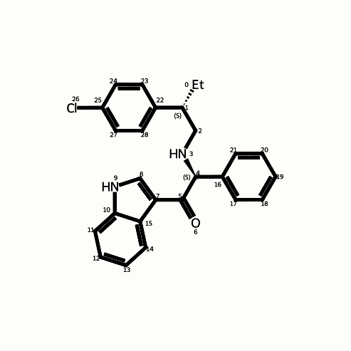 CC[C@H](CN[C@H](C(=O)c1c[nH]c2ccccc12)c1ccccc1)c1ccc(Cl)cc1